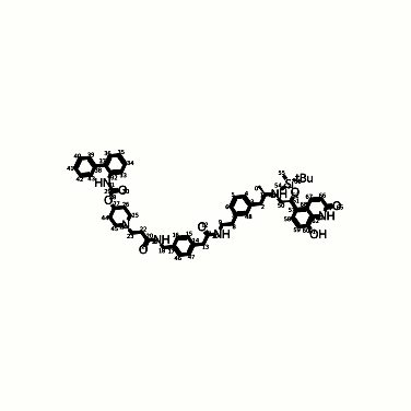 C[C@H](Cc1cccc(CCNC(=O)Cc2ccc(CNC(=O)CCN3CCC(OC(=O)Nc4ccccc4-c4ccccc4)CC3)cc2)c1)NC[C@@H](O[Si](C)(C)C(C)(C)C)c1ccc(O)c2[nH]c(=O)ccc12